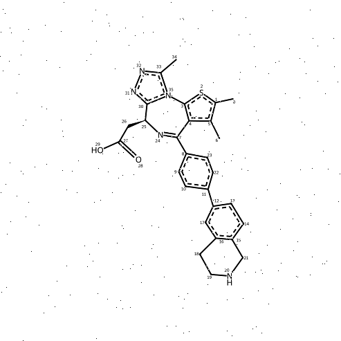 Cc1sc2c(c1C)C(c1ccc(-c3ccc4c(c3)CCNC4)cc1)=N[C@@H](CC(=O)O)c1nnc(C)n1-2